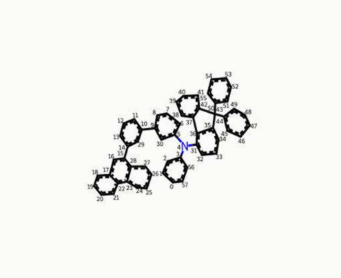 c1ccc(N(c2cccc(-c3cccc(-c4cc5ccccc5c5ccccc45)c3)c2)c2cccc3c2-c2ccccc2C3(c2ccccc2)c2ccccc2)cc1